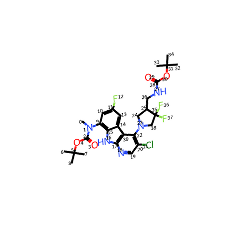 CN(C(=O)OC(C)(C)C)c1cc(F)cc2c1[nH]c1ncc(Cl)c(N3CC(CNC(=O)OC(C)(C)C)C(F)(F)C3)c12